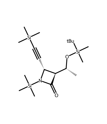 C[C@@H](O[Si](C)(C)C(C)(C)C)[C@H]1C(=O)N([Si](C)(C)C)[C@@H]1C#C[Si](C)(C)C